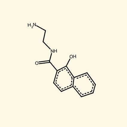 NCCNC(=O)c1ccc2ccccc2c1O